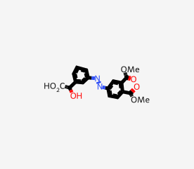 COC(=O)c1ccc(N=Nc2cccc(C(O)C(=O)O)c2)cc1C(=O)OC